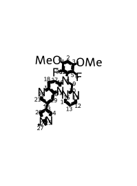 COc1cc(OC)c(F)c(N(Cc2ncccn2)c2ccc3ncc(-c4cnn(C)c4)cc3n2)c1F